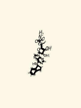 C[C@H](OS(N)(=O)=O)[C@H]1O[C@@H](n2cnc3c(N[C@H]4CCc5ccccc54)ncnc32)[C@H](O)[C@@H]1O